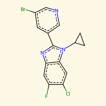 Fc1cc2nc(-c3cncc(Br)c3)n(C3CC3)c2cc1Cl